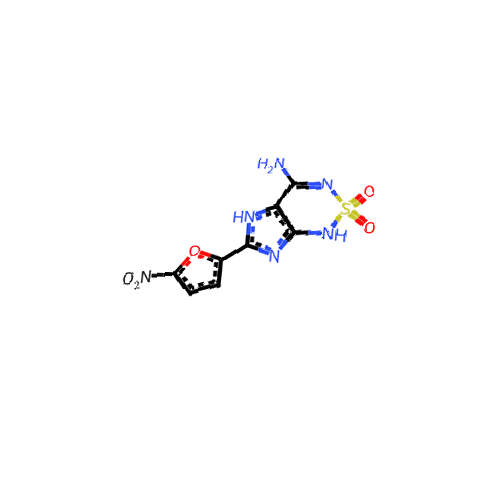 NC1=NS(=O)(=O)Nc2nc(-c3ccc([N+](=O)[O-])o3)[nH]c21